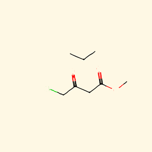 CCC.COC(=O)CC(=O)CCl